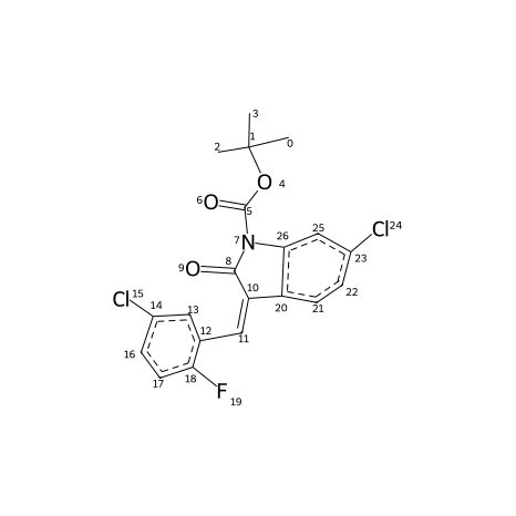 CC(C)(C)OC(=O)N1C(=O)C(=Cc2cc(Cl)ccc2F)c2ccc(Cl)cc21